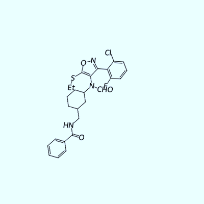 CCSc1onc(-c2c(F)cccc2Cl)c1N(C=O)C1CCCC(CNC(=O)c2ccccc2)C1